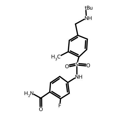 Cc1cc(CNC(C)(C)C)ccc1S(=O)(=O)Nc1ccc(C(N)=O)c(F)c1